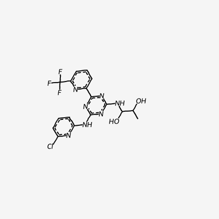 CC(O)C(O)Nc1nc(Nc2cccc(Cl)n2)nc(-c2cccc(C(F)(F)F)n2)n1